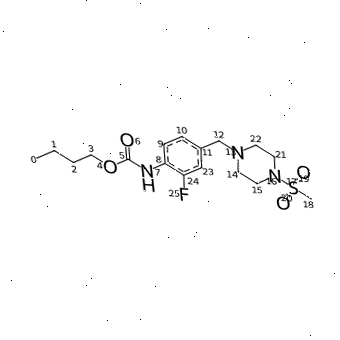 CCCCOC(=O)Nc1ccc(CN2CCN(S(C)(=O)=O)CC2)cc1F